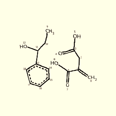 C=C(CC(=O)O)C(=O)O.CCC(O)c1ccccc1